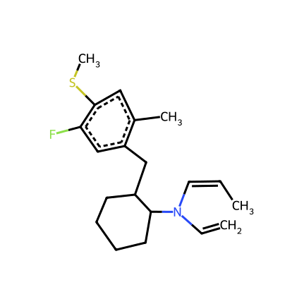 C=CN(/C=C\C)C1CCCCC1Cc1cc(F)c(SC)cc1C